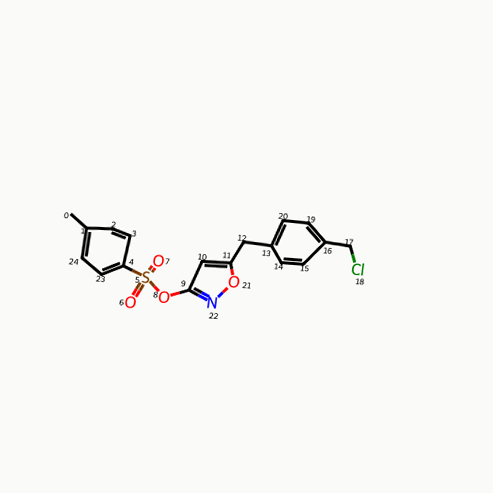 Cc1ccc(S(=O)(=O)Oc2cc(Cc3ccc(CCl)cc3)on2)cc1